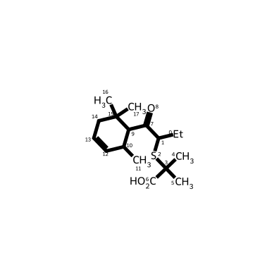 CCC(SC(C)(C)C(=O)O)C(=O)C1C(C)C=CCC1(C)C